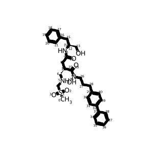 CS(=O)(=O)CNC[C@H](CC(=O)N[C@H](CO)Cc1ccccc1)C(=O)N(O)CCCc1ccc(-c2ccccc2)cc1